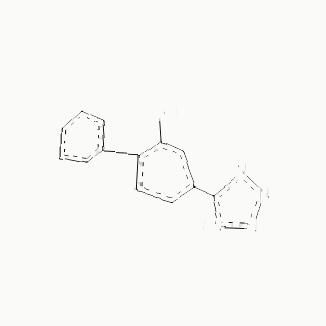 Oc1cc(-c2nnn[nH]2)ccc1-c1ccccc1